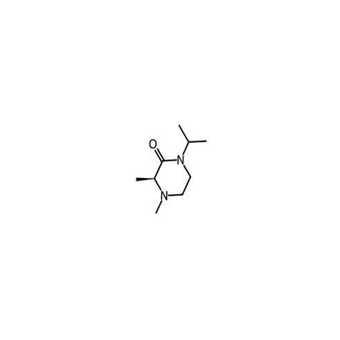 CC(C)N1CCN(C)[C@@H](C)C1=O